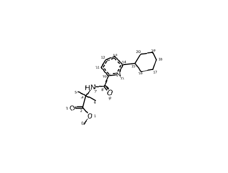 COC(=O)C(C)(C)NC(=O)c1cccc(C2CCCCC2)n1